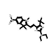 CCN(CC)c1nc(C(C)(C)C)c(/C=C/C2=[N+](C)c3ccc([N+](=O)[O-])cc3C2(C)C)s1